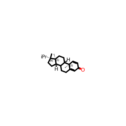 CC(C)[C@@]1(C)CC[C@H]2C3CCC4=CC(=O)C=C[C@]4(C)[C@H]3CC[C@@]21C